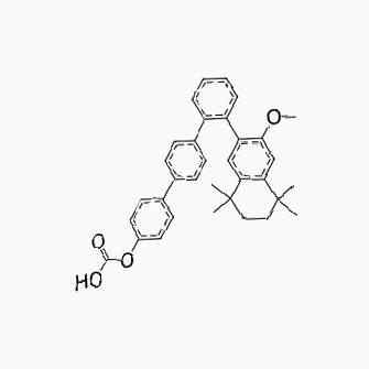 COc1cc2c(cc1-c1ccccc1-c1ccc(-c3ccc(OC(=O)O)cc3)cc1)C(C)(C)CCC2(C)C